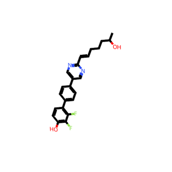 CC(O)CCCC=Cc1ncc(-c2ccc(-c3ccc(O)c(F)c3F)cc2)cn1